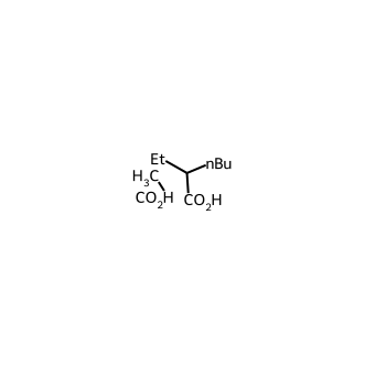 CC(=O)O.CCCCC(CC)C(=O)O